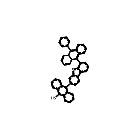 Sc1c2ccccc2c(-c2ccc3c(c2)sc2c(C4=c5ccccc5=C(c5ccccc5)C5C=CC=CC45)cccc23)c2ccccc12